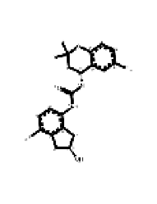 CC1(C)C[C@@H](NC(=O)Nc2ccc(F)c3c2C[C@@H](O)C3)c2cc(F)ccc2O1